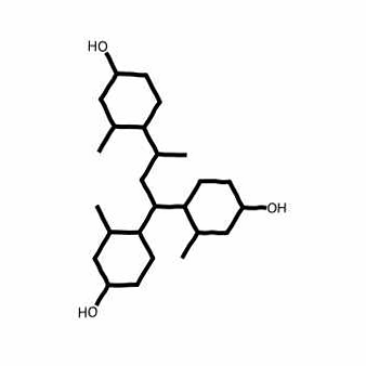 CC1CC(O)CCC1C(C)CC(C1CCC(O)CC1C)C1CCC(O)CC1C